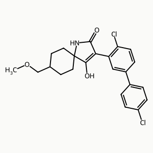 COCC1CCC2(CC1)NC(=O)C(c1cc(-c3ccc(Cl)cc3)ccc1Cl)=C2O